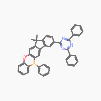 CC1(C)c2ccc(-c3nc(-c4ccccc4)nc(-c4ccccc4)n3)cc2-c2cc3c(cc21)Oc1ccccc1P3c1ccccc1